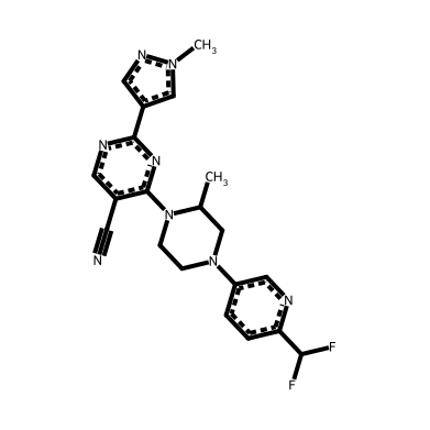 CC1CN(c2ccc(C(F)F)nc2)CCN1c1nc(-c2cnn(C)c2)ncc1C#N